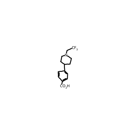 O=C(O)c1ccc(C2CCN(CC(F)(F)F)CC2)cc1